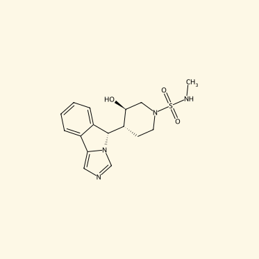 CNS(=O)(=O)N1CC[C@H]([C@H]2c3ccccc3-c3cncn32)[C@@H](O)C1